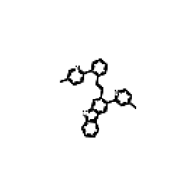 Cc1ccc(-c2ccccc2/C=C/c2cc3oc4ccccc4c3cc2-c2cc(C)ccn2)nc1